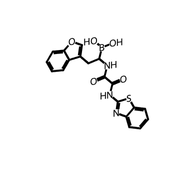 O=C(Nc1nc2ccccc2s1)C(=O)NC(Cc1coc2ccccc12)B(O)O